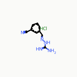 Cl.N#Cc1cccc(/C=N/NC(=N)N)c1